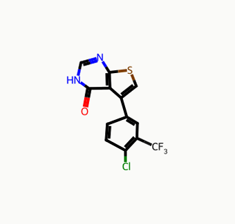 O=c1[nH]cnc2scc(-c3ccc(Cl)c(C(F)(F)F)c3)c12